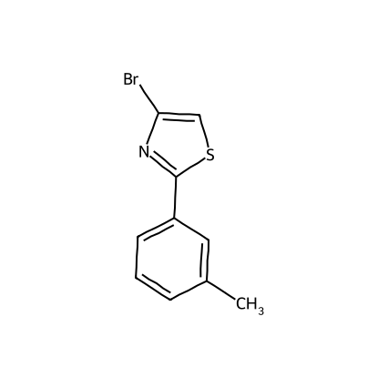 Cc1cccc(-c2nc(Br)cs2)c1